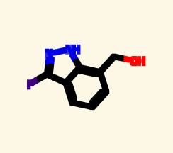 OCc1cccc2c(I)n[nH]c12